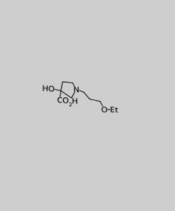 CCOCCCN1CCC(O)(C(=O)O)C1